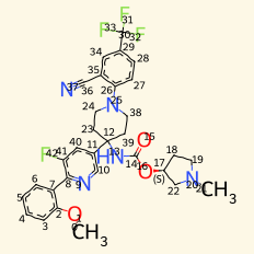 COc1ccccc1-c1ncc(C2(NC(=O)O[C@H]3CCN(C)C3)CCN(c3ccc(C(F)(F)F)cc3C#N)CC2)cc1F